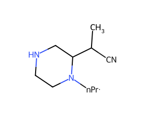 CC[CH]N1CCNCC1C(C)C#N